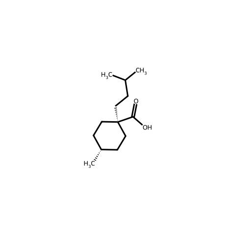 CC(C)CC[C@]1(C(=O)O)CC[C@H](C)CC1